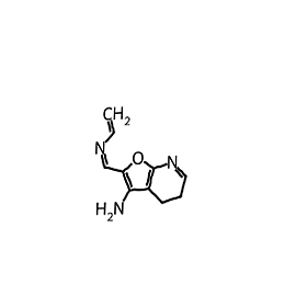 C=C/N=C\c1oc2c(c1N)CCC=N2